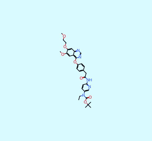 CCN(C(=O)OC(C)(C)C)c1ccc(NC(=O)Cc2ccc(Oc3ncnc4cc(OCCOC)c(OC)cc34)cc2)nc1